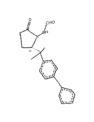 CC(C)(c1ccc(-c2ccccc2)cc1)[C@@H]1CCC(=O)N1BC=O